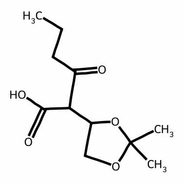 CCCC(=O)C(C(=O)O)C1COC(C)(C)O1